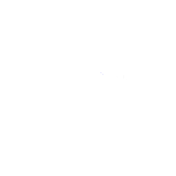 CN(C)C(=O)Cc1ccsc1